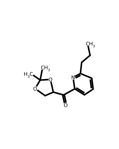 CCCc1cccc(C(=O)C2COC(C)(C)O2)n1